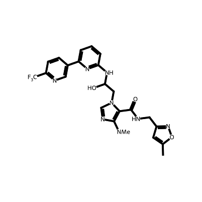 CNc1ncn(CC(O)Nc2cccc(-c3ccc(C(F)(F)F)nc3)n2)c1C(=O)NCc1cc(C)on1